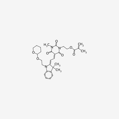 C=C(C)C(=O)OCCN1C(=O)/C(=C/C=C2/N(CCOC3CCCCO3)c3ccccc3C2(C)C)C(=O)N(C)C1=O